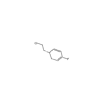 FC1=CC[C](CCCl)C=C1